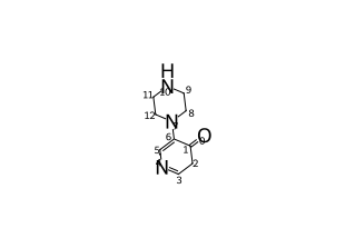 O=C1CC=N[C]=C1N1CCNCC1